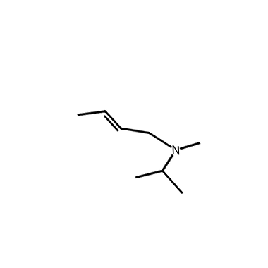 C/C=C/CN(C)C(C)C